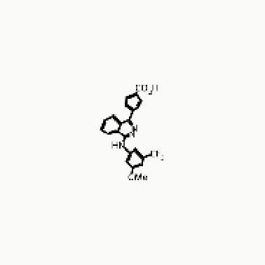 COc1cc(Nc2nnc(-c3ccc(C(=O)O)cc3)c3ccccc23)cc(C(F)(F)F)c1